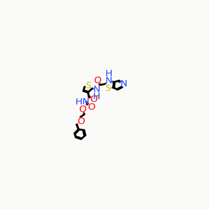 O=C(NC(=O)C1=CCSC1NC(=O)C1Nc2cnccc2S1)OCCOCc1ccccc1